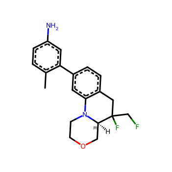 Cc1ccc(N)cc1-c1ccc2c(c1)N1CCOC[C@@H]1C(F)(CF)C2